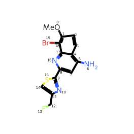 COc1ccc2c(N)cc(-c3nc(CF)cs3)nc2c1Br